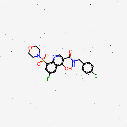 O=C(NCc1ccc(Cl)cc1)c1cnc2c(S(=O)(=O)N3CCOCC3)cc(F)cc2c1O